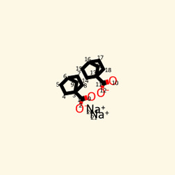 O=C([O-])C12CCC(CC1)C2.O=C([O-])C12CCC(CC1)C2.[Na+].[Na+]